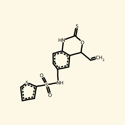 C=CC1OC(=S)Nc2ccc(NS(=O)(=O)c3cccs3)cc21